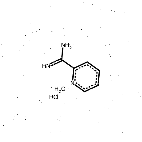 Cl.N=C(N)c1ccccn1.O